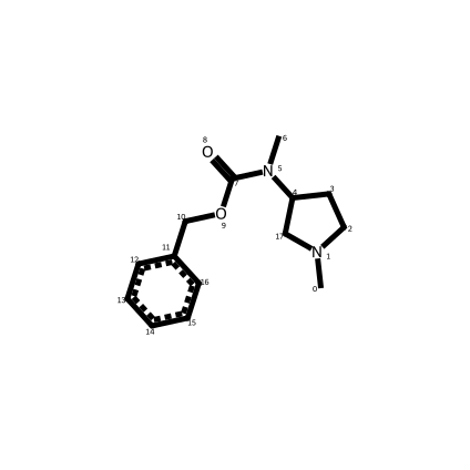 CN1CCC(N(C)C(=O)OCc2ccccc2)C1